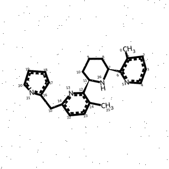 Cc1cccnc1[C@@H]1CCC[C@H](c2nc(Cc3ccccn3)ccc2C)N1